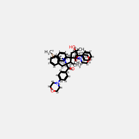 CSc1ccc(C(CC(C)(O)C(=O)c2ccccc2)(C(C)C(Cc2ccccc2)(C(=O)c2ccc(N3CCOCC3)cc2)N(C)C)C(C)(C)N2CCOCC2)cc1